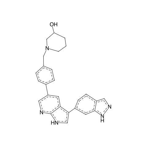 OC1CCCN(Cc2ccc(-c3cnc4[nH]cc(-c5ccc6cn[nH]c6c5)c4c3)cc2)C1